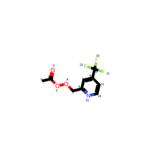 CC(=O)OOCc1cc(C(F)(F)F)ccn1